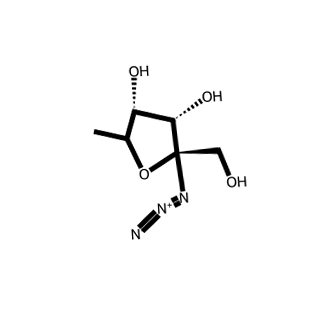 CC1O[C@@](CO)(N=[N+]=[N-])[C@@H](O)[C@H]1O